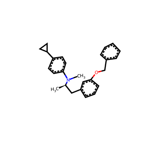 C[C@H](Cc1cccc(OCc2ccccc2)c1)N(C)c1ccc(C2CC2)cc1